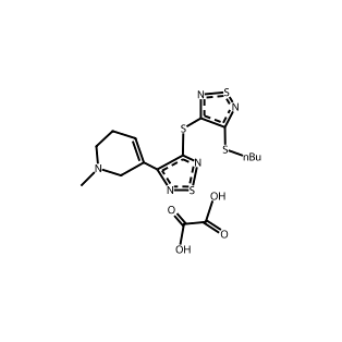 CCCCSc1nsnc1Sc1nsnc1C1=CCCN(C)C1.O=C(O)C(=O)O